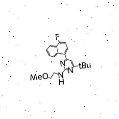 COCCNc1nc(-c2ccc(F)c3ccccc23)cc(C(C)(C)C)n1